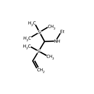 C=C[Si](C)(C)C(NCC)[Si](C)(C)C